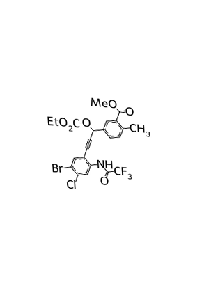 CCOC(=O)OC(C#Cc1cc(Br)c(Cl)cc1NC(=O)C(F)(F)F)c1ccc(C)c(C(=O)OC)c1